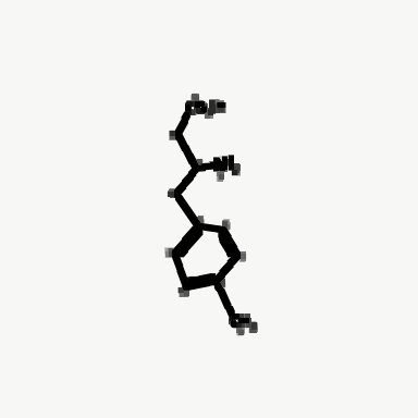 CCOC(=O)CC(N)Cc1ccc(C)cc1